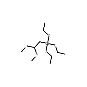 CCO[Si](CC(OC)OC)(OCC)OCC